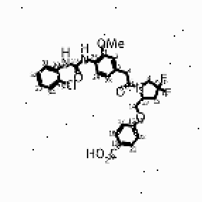 COc1cc(CC(=O)N2CC(F)(F)CC2COc2ccc(C(=O)O)cc2)ccc1NC(=O)Nc1ccccc1Cl